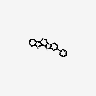 c1ccc(-c2ccc3c(c2)oc2c3ccc3c4ccccc4oc32)cc1